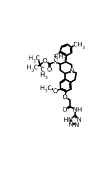 COc1cc2c(cc1OCC(=O)Nc1nnn[nH]1)CCN1CC(c3cc(C)ccc3C)C(NC(=O)OC(C)(C)C)CC21